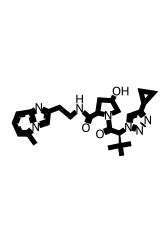 Cc1cccc2nc(CCNC(=O)C3CC(O)CN3C(=O)[C@@H](n3cc(C4CC4)nn3)C(C)(C)C)cn12